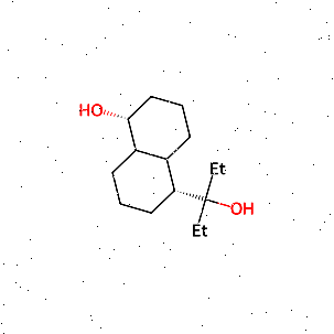 CCC(O)(CC)[C@@H]1CCCC2C1CCC[C@H]2O